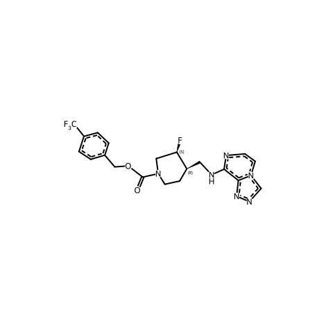 O=C(OCc1ccc(C(F)(F)F)cc1)N1CC[C@H](CNc2nccn3cnnc23)[C@H](F)C1